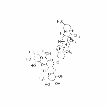 C[C@H]1CC[C@@H]2[C@@H](C)[C@H]3[C@H](C[C@H]4[C@@H]5CC=C6C[C@@H](O[C@@H]7O[C@H](CO)[C@H](O[C@@H]8O[C@@H](C)[C@H](O)[C@@H](O)[C@H]8O)[C@H](O)[C@@H]7O[C@@H]7O[C@@H](C)[C@@H](O)[C@@H](O)[C@H]7O)CC[C@]6(C)[C@H]5CC[C@]34C)N2C1